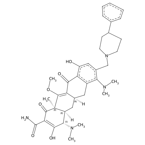 COC1=C2C(=O)c3c(O)cc(CN4CCC(c5ccccc5)CC4)c(N(C)C)c3C[C@H]2C[C@H]2[C@H](N(C)C)C(O)=C(C(N)=O)C(=O)[C@@]12C